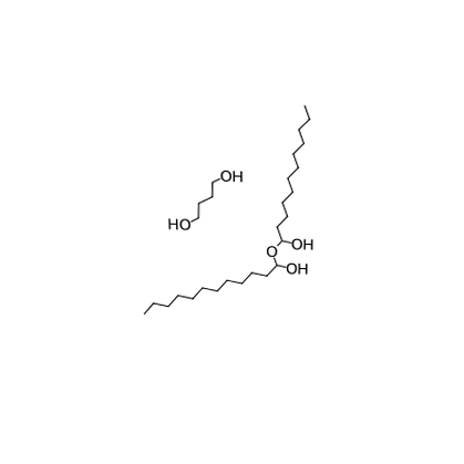 CCCCCCCCCCCC(O)OC(O)CCCCCCCCCCC.OCCCCO